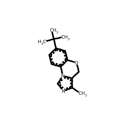 Cc1ncn2c1COc1cc(C(C)(C)C)ccc1-2